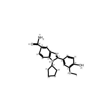 COc1cc(-c2nc3cc(C(N)=O)ccc3n2C2CCCC2)ccc1O